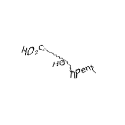 CCCCC/C=C/C=C/C(O)C/C=C/CCCCCCC(=O)O